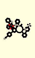 C=C1CC2C(CCc3cc(-c4ccc(C#N)cc4)c4c(oc5ccccc54)c3-c3n(-c4cccc5c4oc4ccccc45)c4ccccc4[n+]31)c1ccccc1-c1ccc([Si](C)(C)C)c[n+]12